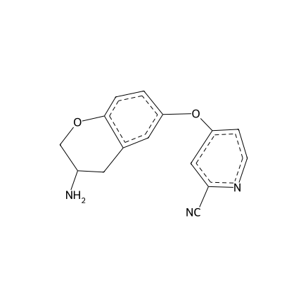 N#Cc1cc(Oc2ccc3c(c2)CC(N)CO3)ccn1